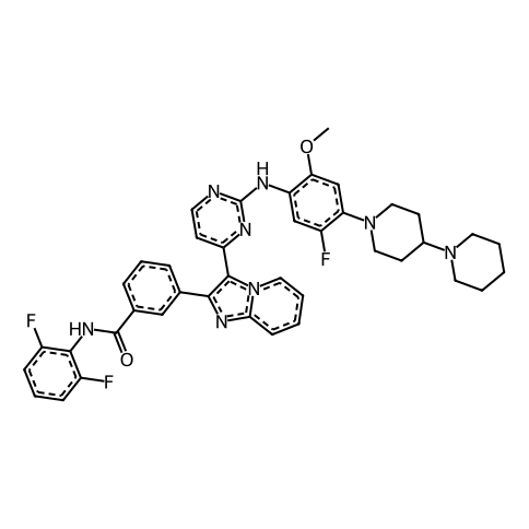 COc1cc(N2CCC(N3CCCCC3)CC2)c(F)cc1Nc1nccc(-c2c(-c3cccc(C(=O)Nc4c(F)cccc4F)c3)nc3ccccn23)n1